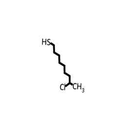 CC(Cl)CCCCCCCS